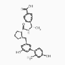 Cc1cc(O)ccc1-c1cc(O)cc(CN2CCC[C@@H]2C(=O)N[C@@H](C)c2ccc(C(=O)O)cc2)c1